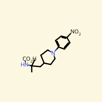 CC(C)(CC1CCN(c2ccc([N+](=O)[O-])cc2)CC1)NC(=O)O